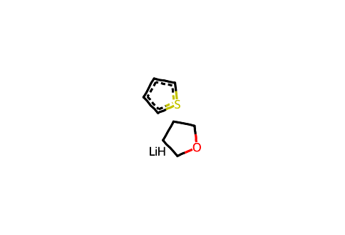 C1CCOC1.[LiH].c1ccsc1